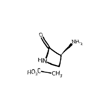 CC(=O)O.N[C@H]1CNC1=O